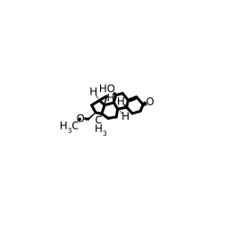 COC[C@H]1C[C@H]2C[C@]23[C@@H]2C(O)CC4=CC(=O)CC[C@@H]4[C@H]2CC[C@]13C